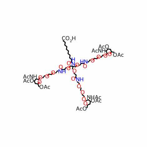 CC(=O)NC1C(OC(C)=O)CC(COC(C)=O)OC1OCCOCCOCCNC(=O)CCOCC(COCCC(=O)NCCOCCOCCOC1OC(COC(C)=O)CC(OC(C)=O)C1NC(C)=O)(COCCC(=O)NCCOCCOCCOC1OC(COC(C)=O)CC(OC(C)=O)C1NC(C)=O)NC(=O)CCCCCCCCCCC(=O)O